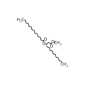 CCCCCCCCCCCCCC(=O)O[C@H](CCCCCCCCCCC)CC(=O)OC